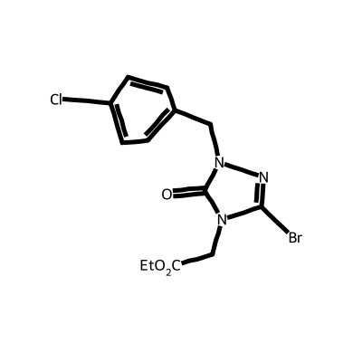 CCOC(=O)Cn1c(Br)nn(Cc2ccc(Cl)cc2)c1=O